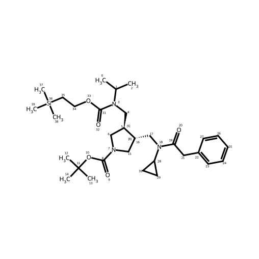 CC(C)N(C[C@@H]1CN(C(=O)OC(C)(C)C)C[C@H]1CN(C(=O)Cc1ccccc1)C1CC1)C(=O)OCC[Si](C)(C)C